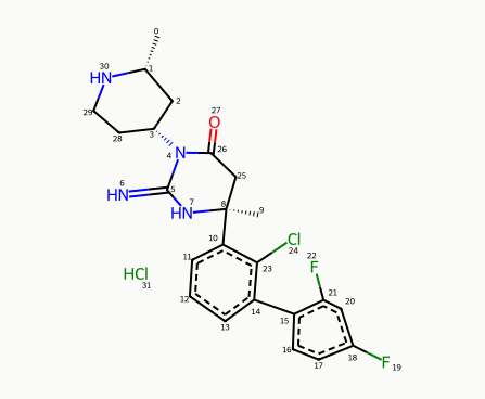 C[C@@H]1C[C@H](N2C(=N)N[C@](C)(c3cccc(-c4ccc(F)cc4F)c3Cl)CC2=O)CCN1.Cl